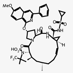 COc1ccc2c(O[C@@H]3C[C@H]4C(=O)N[C@]5(C(=O)NS(=O)(=O)C6CC6)C[C@H]5C=CCC[C@H](C)C[C@@H](C)[C@H](N(C(=O)O)C(C)(C)C(F)(F)F)C(=O)N4C3)nc(-c3ccccc3)cc2c1